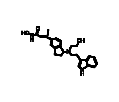 CC(=CC(=O)NO)c1ccc2c(c1)CC[C@H]2N(CCO)CCc1c[nH]c2ccccc12